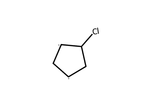 ClC1[CH]C[CH]C1